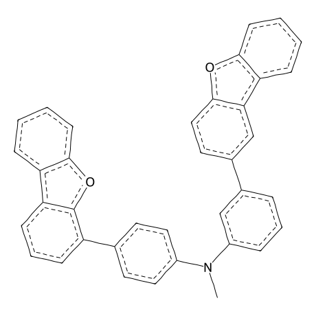 CN(c1ccc(-c2cccc3c2oc2ccccc23)cc1)c1cccc(-c2ccc3oc4ccccc4c3c2)c1